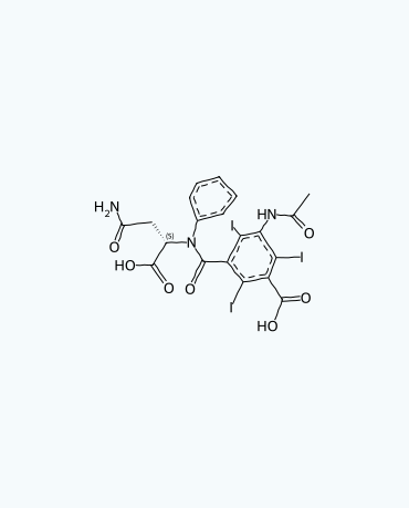 CC(=O)Nc1c(I)c(C(=O)O)c(I)c(C(=O)N(c2ccccc2)[C@@H](CC(N)=O)C(=O)O)c1I